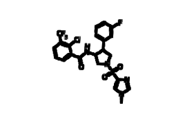 Cn1cnc(S(=O)(=O)N2CC(NC(=O)c3cccc(C(F)(F)F)c3Cl)C(c3cccc(F)c3)C2)c1